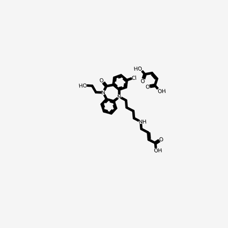 O=C(O)/C=C/CNCCCCN1c2cc(Cl)ccc2C(=O)N(CCO)c2ccccc21.O=C(O)/C=C\C(=O)O